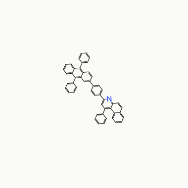 c1ccc(-c2c3ccccc3c(-c3ccccc3)c3cc(-c4ccc(-c5cc(-c6ccccc6)c6c(ccc7ccccc76)n5)cc4)ccc23)cc1